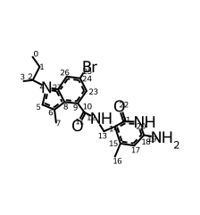 CCC(C)n1cc(C)c2c(C(=O)NCc3c(C)cc(N)[nH]c3=O)cc(Br)cc21